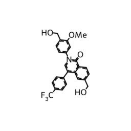 COc1cc(-n2cc(-c3ccc(C(F)(F)F)cc3)c3cc(CO)ccc3c2=O)ccc1CO